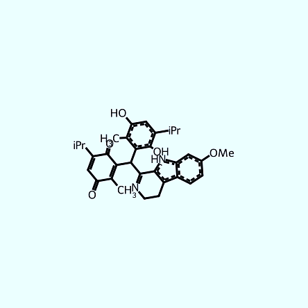 COc1ccc2c3c([nH]c2c1)C(C(C1=C(C)C(=O)C=C(C(C)C)C1=O)c1c(C)c(O)cc(C(C)C)c1O)=NCC3